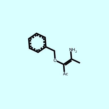 CC(=O)C(OCc1ccccc1)=C(C)N